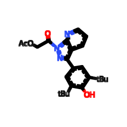 CC(=O)OCC(=O)n1nc(-c2cc(C(C)(C)C)c(O)c(C(C)(C)C)c2)c2cccnc21